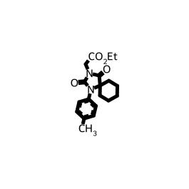 CCOC(=O)CN1C(=O)N(c2ccc(C)cc2)C2(CCCCC2)C1=O